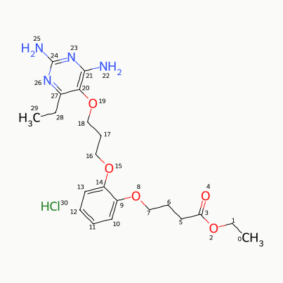 CCOC(=O)CCCOc1ccccc1OCCCOc1c(N)nc(N)nc1CC.Cl